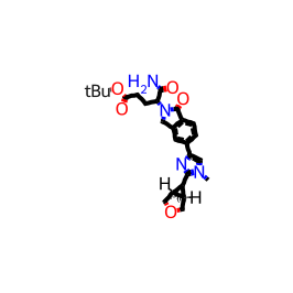 Cn1cc(-c2ccc3c(c2)CN(C(CCC(=O)OC(C)(C)C)C(N)=O)C3=O)nc1C1[C@H]2COC[C@@H]12